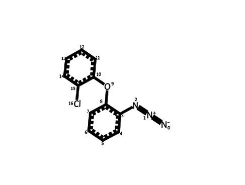 [N-]=[N+]=Nc1ccccc1Oc1ccccc1Cl